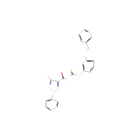 Cc1nn(-c2ccccc2)nc1C(=O)NC(=S)Nc1cccc(OCc2ccccc2)c1